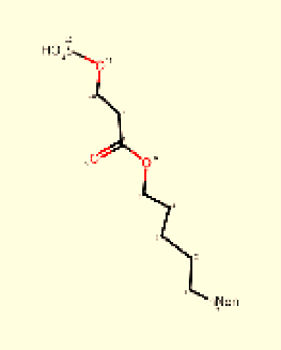 CCCCCCCCCCCCCCOC(=O)CCOS(=O)(=O)O